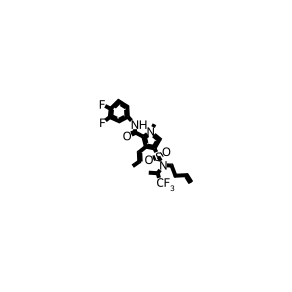 C=CCCN(C(C)C(F)(F)F)S(=O)(=O)c1cn(C)c(C(=O)Nc2ccc(F)c(F)c2)c1/C=C/C